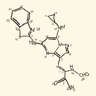 NC(=O)/C(=C/c1cnn2c(NC3CC3)cc(Nc3nc4ccccc4s3)nc12)NC=O